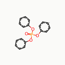 O=P(Oc1cc[c]cc1)(Oc1ccccc1)Oc1ccccc1